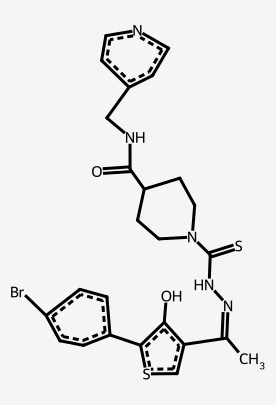 C/C(=N/NC(=S)N1CCC(C(=O)NCc2ccncc2)CC1)c1csc(-c2ccc(Br)cc2)c1O